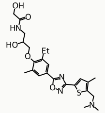 CCc1cc(-c2nc(-c3cc(C)c(CN(C)C)s3)no2)cc(C)c1OCC(O)CNC(=O)CO